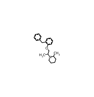 CC1CCCCN1[C@@H](C)COc1ccccc1Cc1ccccc1